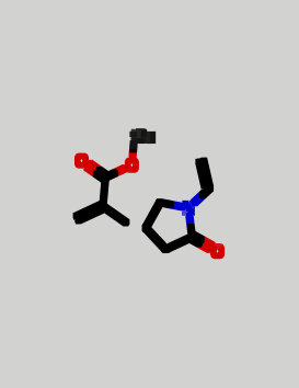 C=C(C)C(=O)OC(C)(C)C.C=CN1CCCC1=O